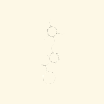 O=C(c1cccc(COc2c(Cl)cc(Cl)cc2Cl)n1)N1CCCCCC1